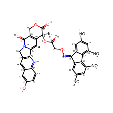 CC[C@@]1(OC(=O)CON=C2c3cc(N=O)cc(N=O)c3-c3c(N=O)cc(N=O)cc32)C(=O)OCc2c1cc1n(c2=O)Cc2cc3cc(O)ccc3nc2-1